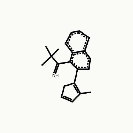 CC1=C(c2ccc3ccccc3c2C(=N)C(C)(C)C)CC=C1